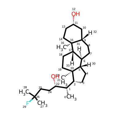 C[C@@H]([C@H]1CC[C@H]2[C@@H]3CC[C@H]4C[C@@H](O)CC[C@]4(C)[C@H]3CC[C@]12C)[C@@H](O)CCC(C)(C)F